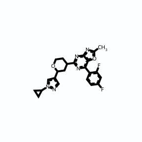 Cc1nc2nc(C3CCOC(c4cnn(C5CC5)c4)C3)nc(-c3ccc(F)cc3F)c2o1